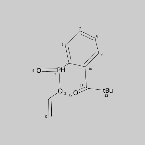 C=CO[PH](=O)c1ccccc1C(=O)C(C)(C)C